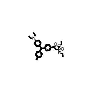 C=c1ccc(=C(c2ccc(C(=O)CP(=O)(OCC)OCC)cc2)c2ccc(N(CC)CC)cc2)cc1